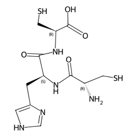 N[C@@H](CS)C(=O)N[C@@H](Cc1c[nH]cn1)C(=O)N[C@@H](CS)C(=O)O